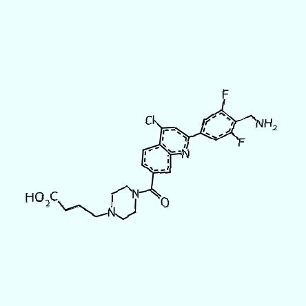 NCc1c(F)cc(-c2cc(Cl)c3ccc(C(=O)N4CCN(CCCC(=O)O)CC4)cc3n2)cc1F